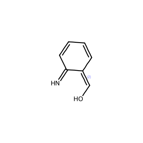 N=C1C=CC=C/C1=C/O